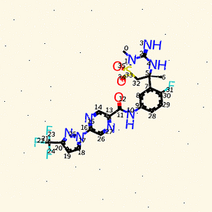 CN1C(=N)N[C@](C)(c2cc(NC(=O)c3cnc(-n4ccc(C(F)(F)F)n4)cn3)ccc2F)CS1(=O)=O